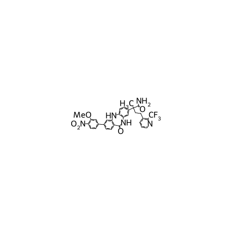 COc1cc(-c2ccc3c(c2)Nc2ccc(C(C)(CCc4cccnc4C(F)(F)F)C(N)=O)cc2NC3=O)ccc1[N+](=O)[O-]